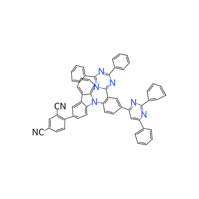 N#Cc1ccc(-c2ccc3c(c2)c2ccccc2n3-c2ccc(-c3cc(-c4ccccc4)nc(-c4ccccc4)n3)cc2-c2nc(-c3ccccc3)nc(-c3ccccc3)n2)c(C#N)c1